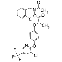 CC(=O)N(Cc1ccccc1Cl)OC(=O)C(C)Oc1ccc(Oc2ncc(C(F)(F)F)cc2Cl)cc1